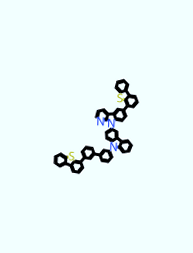 c1cc(-c2cccc(-n3c4ccccc4c4cc(-n5c6ccc(-c7cccc8c7sc7ccccc78)cc6c6cccnc65)ccc43)c2)cc(-c2cccc3c2sc2ccccc23)c1